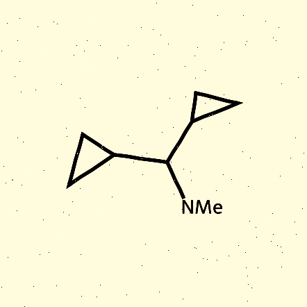 [CH2]NC(C1CC1)C1CC1